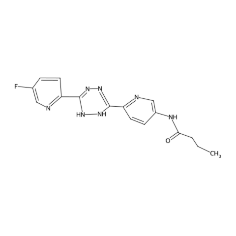 CCCC(=O)Nc1ccc(C2=NN=C(c3ccc(F)cn3)NN2)nc1